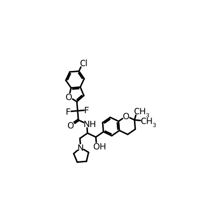 CC1(C)CCc2cc(C(O)C(CN3CCCC3)NC(=O)C(F)(F)c3cc4cc(Cl)ccc4o3)ccc2O1